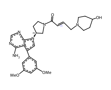 COc1cc(OC)cc(-c2cn([C@H]3CCN(C(=O)/C=C/CN4CCC(O)CC4)C3)c3ncnc(N)c23)c1